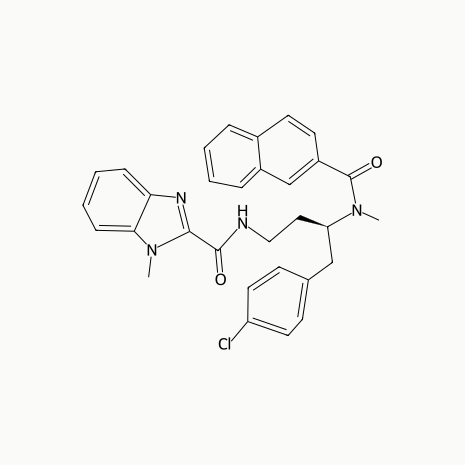 CN(C(=O)c1ccc2ccccc2c1)[C@H](CCNC(=O)c1nc2ccccc2n1C)Cc1ccc(Cl)cc1